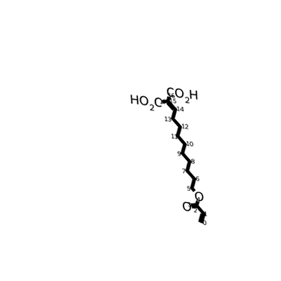 C=CC(=O)OCCCCCCCCCC=C(C(=O)O)C(=O)O